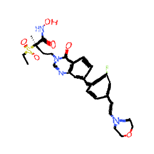 CCS(=O)(=O)[C@](C)(CCn1cnc2cc(-c3ccc(CCN4CCOCC4)cc3F)ccc2c1=O)C(=O)NO